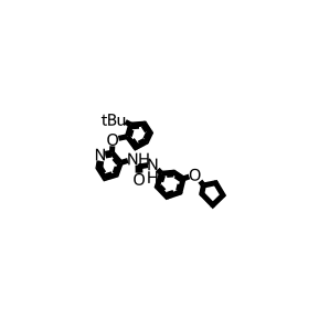 CC(C)(C)c1ccccc1Oc1ncccc1NC(=O)Nc1cccc(OC2CCCC2)c1